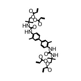 C=CC(=O)OCC(C)(COC(=O)C=C)NC(=O)Nc1ccc(-c2ccc(NC(=O)NC(C)(COC(=O)C=C)COC(=O)C=C)c(C)c2)cc1C